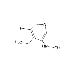 CCc1c(I)cncc1NC